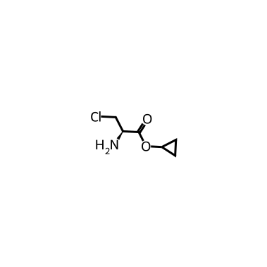 N[C@@H](CCl)C(=O)OC1CC1